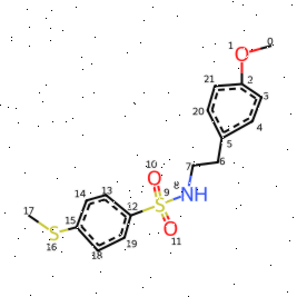 COc1ccc(CCNS(=O)(=O)c2ccc(SC)cc2)cc1